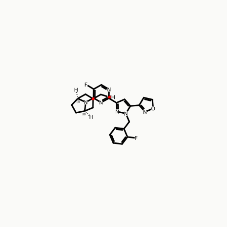 OCC1C[C@H]2CC[C@@H](C1)N2c1nc(-c2cc(-c3ccon3)n(Cc3ccccc3F)n2)ncc1F